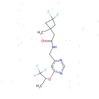 CC(Oc1cc(CNC(=O)CC2(C)CC(F)(F)C2)ncn1)C(F)(F)F